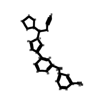 N#CCC(C1CCCC1)n1cc(-c2ccnc(Nc3cccc(N)c3)n2)cn1